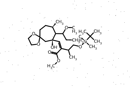 CCC(OC)C1[C@H](C)CCC2(C[C@@]1(O)/C=C(\C(=O)OC)C(C)CO[Si](C)(C)C(C)(C)C)OCCO2